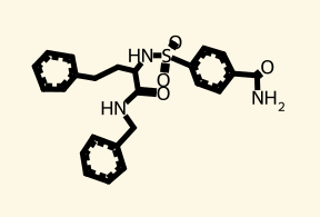 NC(=O)c1ccc(S(=O)(=O)NC(CCc2ccccc2)C(=O)NCc2ccccc2)cc1